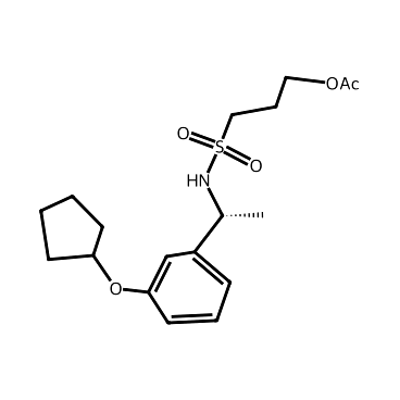 CC(=O)OCCCS(=O)(=O)N[C@H](C)c1cccc(OC2CCCC2)c1